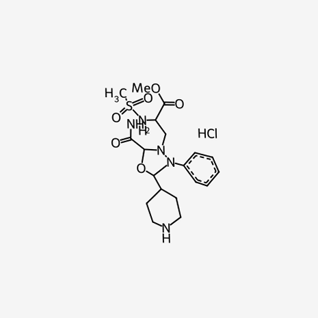 COC(=O)C(CN1C(C(N)=O)OC(C2CCNCC2)N1c1ccccc1)NS(C)(=O)=O.Cl